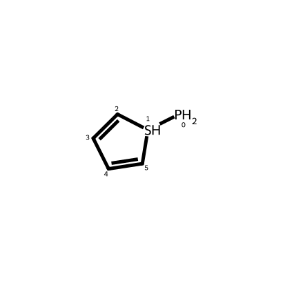 P[SH]1C=CC=C1